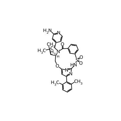 Cc1cccc(C)c1-c1cc2nc(n1)NS(=O)(=O)c1cccc(c1)C(=O)N(Cc1ccnc(N)c1)[C@H](CC(C)(C)C)CO2